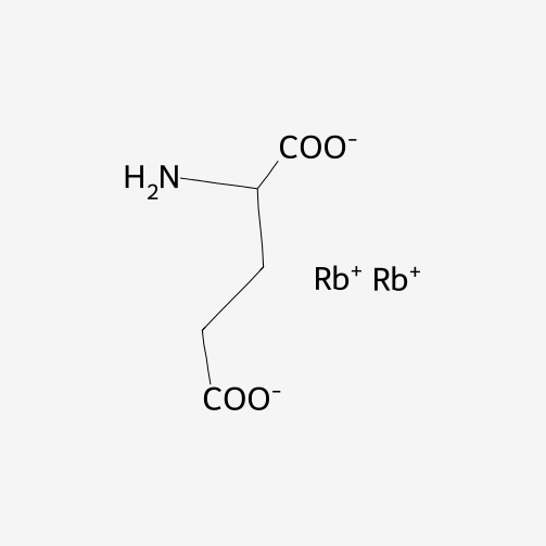 NC(CCC(=O)[O-])C(=O)[O-].[Rb+].[Rb+]